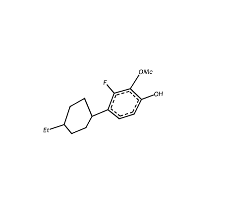 CCC1CCC(c2ccc(O)c(OC)c2F)CC1